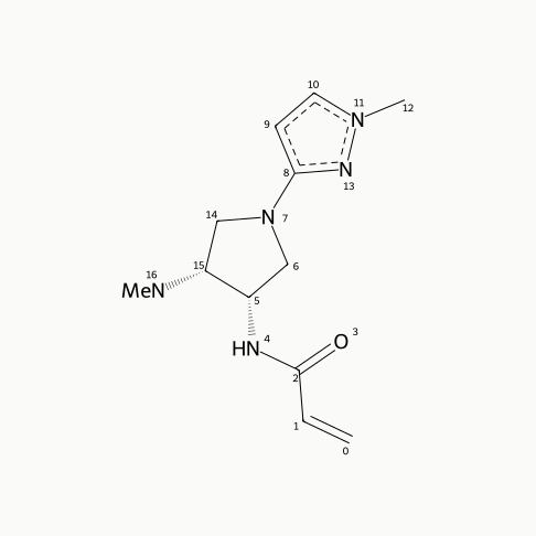 C=CC(=O)N[C@H]1CN(c2ccn(C)n2)C[C@H]1NC